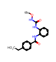 CC(C)(C)ONC(=O)Nc1ccccc1NC(=O)c1ccc(CC(=O)O)cc1